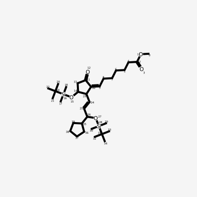 COC(=O)CCCCCC=C1C(=O)CC(O[Si](C)(C)C(C)(C)C)C1C=CC(O[Si](C)(C)C(C)(C)C)C1CCCC1